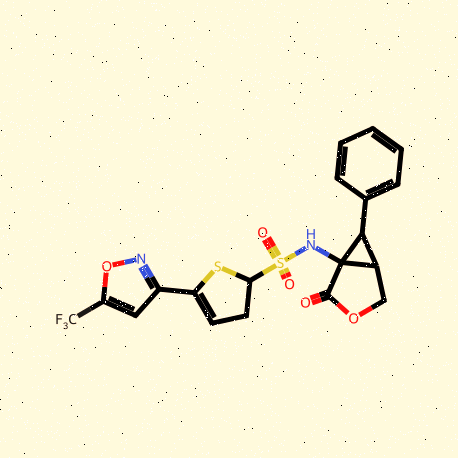 O=C1OCC2C(c3ccccc3)C12NS(=O)(=O)C1CC=C(c2cc(C(F)(F)F)on2)S1